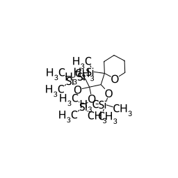 C[SiH2]C1(C(O[Si](C)(C)C)C([SiH3])(O[Si](C)(C)C)O[Si](C)(C)C)CCCCO1